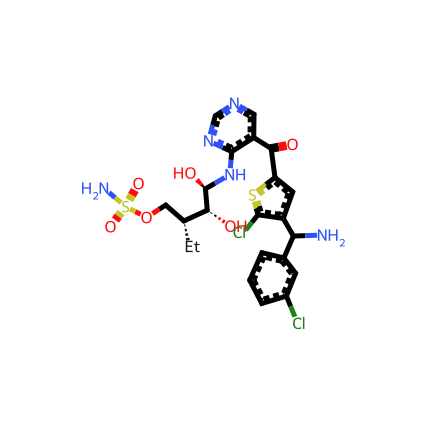 CC[C@H](COS(N)(=O)=O)[C@@H](O)[C@@H](O)Nc1ncncc1C(=O)c1cc(C(N)c2cccc(Cl)c2)c(Cl)s1